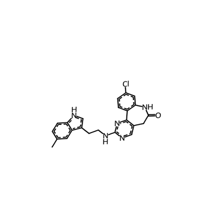 Cc1ccc2[nH]cc(CCNc3ncc4c(n3)-c3ccc(Cl)cc3NC(=O)C4)c2c1